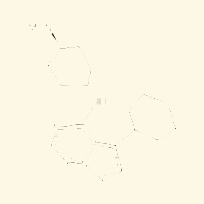 CN[C@H]1CC[C@H](Nc2ncnn3ccc(C4CCOCC4)c23)CC1